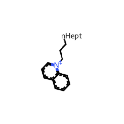 CCCCCCCCCC[n+]1cccc2ccccc21